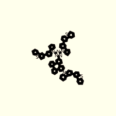 c1ccc2c(c1)-c1ccccc1-c1cc(-n3c4ccccc4c4cc(-c5ccc6sc7ccccc7c6c5)ccc43)ccc1-c1ccc(-c3nc(-n4c5ccccc5c5cc(-c6ccc7sc8ccccc8c7c6)ccc54)nc(-n4c5ccccc5c5cc(-c6ccc7sc8ccccc8c7c6)ccc54)n3)cc1-2